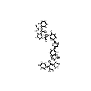 Cc1ccc(-c2ncc(-c3ccc4nc([C@@H]5CCCN5C(=O)[C@@H](c5ccccc5)N(C)C)[nH]c4c3)o2)cc1NC(=O)[C@@H]1CCCN1C(=O)[C@@H](c1ccccc1)N(C)C